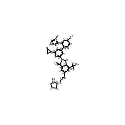 Cn1cnnc1-c1cc(F)ccc1-c1cc(C2CC2)nc(N2Cc3c(cc(COC[C@@H]4CCCN4)cc3C(F)(F)F)C2=O)c1